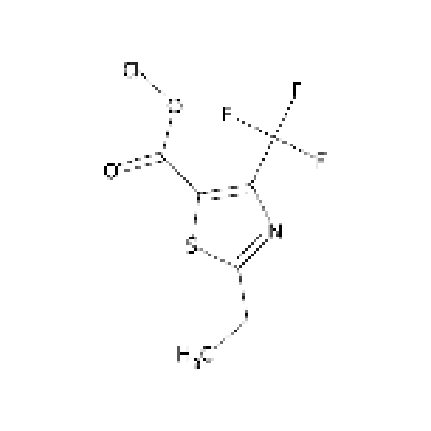 CCc1nc(C(F)(F)F)c(C(=O)OCl)s1